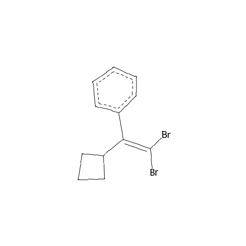 BrC(Br)=C(c1ccccc1)C1CCC1